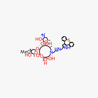 CO[C@]1(C)C[C@H](O[C@H]2[C@H](C)[C@@H](O[C@@H]3O[C@H](C)C[C@H](N(C)C)[C@H]3O)[C@](C)(O)C[C@@H](C)CN(CCCNCc3cc4c([nH]3)-c3ccccc3Sc3ccccc3-4)[C@H](C)[C@@H](O)[C@](C)(O)[C@@H](I)OC(=O)[C@@H]2C)O[C@@H](C)[C@@H]1O